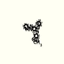 CS(=O)(=O)c1ccc(Oc2cc3[nH]c(-c4ccccn4)nc3cc2Oc2ccccn2)cc1